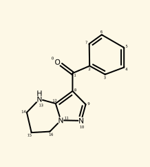 O=C(c1ccccc1)c1cnn2c1NCCC2